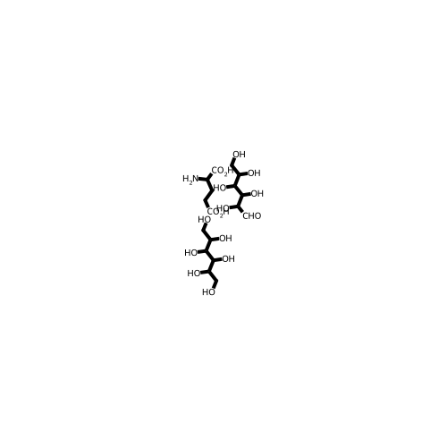 NC(CCC(=O)O)C(=O)O.O=CC(O)C(O)C(O)C(O)CO.OCC(O)C(O)C(O)C(O)CO